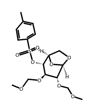 [2H][C@]12CO[C@H](O1)[C@H](OCOC)[C@@H](OCOC)[C@@H]2OS(=O)(=O)c1ccc(C)cc1